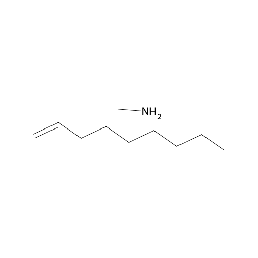 C=CCCCCCCC.CN